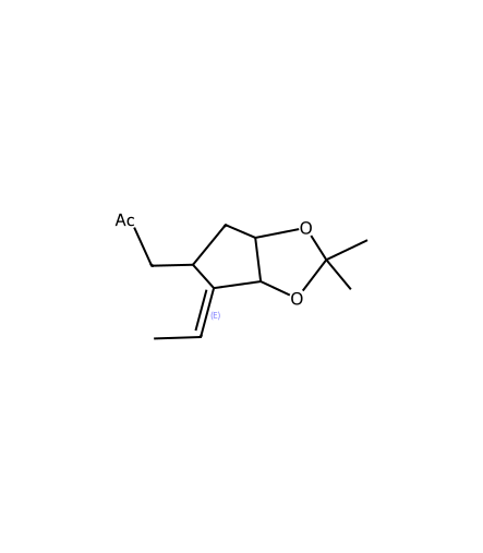 C/C=C1\C(CC(C)=O)CC2OC(C)(C)OC12